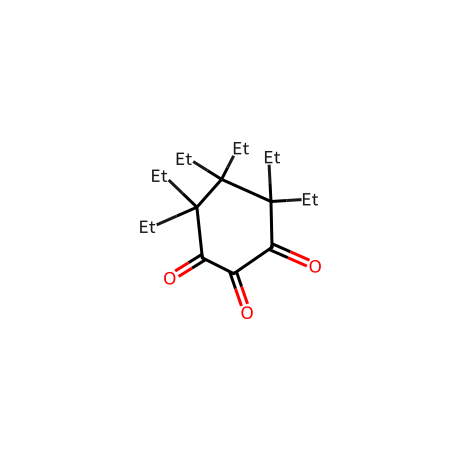 CCC1(CC)C(=O)C(=O)C(=O)C(CC)(CC)C1(CC)CC